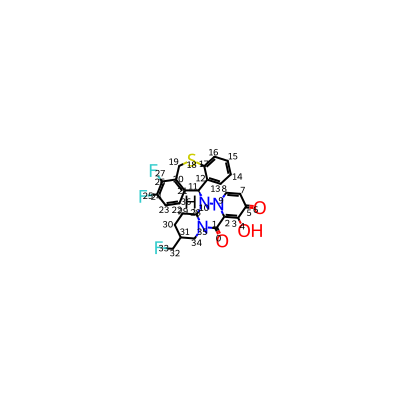 O=C1c2c(O)c(=O)ccn2N([C@@H]2c3ccccc3SCc3c2ccc(F)c3F)[C@@H]2CCC(CF)CN12